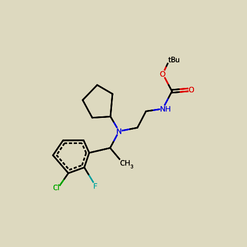 CC(c1cccc(Cl)c1F)N(CCNC(=O)OC(C)(C)C)C1CCCC1